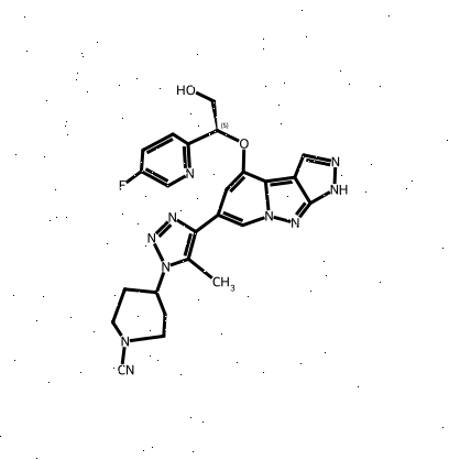 Cc1c(-c2cc(O[C@H](CO)c3ccc(F)cn3)c3c4cn[nH]c4nn3c2)nnn1C1CCN(C#N)CC1